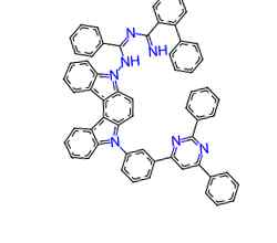 N=C(/N=C(\Nn1c2ccccc2c2c3c4ccccc4n(-c4cccc(-c5cc(-c6ccccc6)nc(-c6ccccc6)n5)c4)c3ccc21)c1ccccc1)c1ccccc1-c1ccccc1